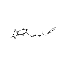 C#CCOC/C=C/c1ccc2c(c1)OCC2